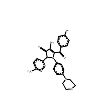 Cc1ccc(C2C(=O)C(O)=C(C(=O)c3ccc(C(C)C)cc3)N2c2ccc(N3CCOCC3)cc2)nn1